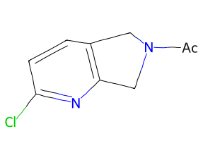 CC(=O)N1Cc2ccc(Cl)nc2C1